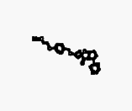 COCCOc1ccc(COC2CC3(C2)OC2CC[C@@H](c4cnccn4)N2C3=O)cc1